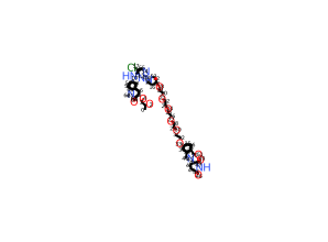 CC(=O)COc1cc2cc(Nc3nc(N4CCC(OCCOCCOCCOCCOCCOc5ccc6c(c5)CN(C5CCC(=O)NC5=O)C6=O)CC4)ncc3Cl)ccc2n(C)c1=O